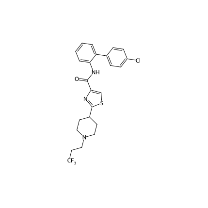 O=C(Nc1ccccc1-c1ccc(Cl)cc1)c1csc(C2CCN(CCC(F)(F)F)CC2)n1